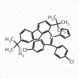 CC(C)(C)c1ccc2c(c1)Cc1c-2ccc(C(C)(C)C)[c]1[Zr]([C]1=CC=CC1)=[C](c1ccc(Cl)cc1)c1ccc(Cl)cc1